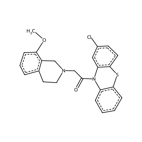 COc1cccc2c1CN(CC(=O)N1c3ccccc3Sc3ccc(Cl)cc31)CC2